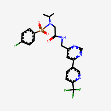 CC(C)N(CC(=O)NCc1cc(-c2ccc(C(F)(F)F)nc2)ncn1)S(=O)(=O)c1ccc(F)cc1